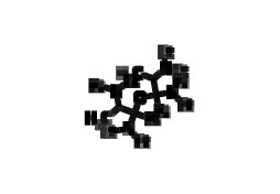 CCN(CC)C(C)C(CC)(OC(CC)(C(C)N(CC)CC)N(CC)CC)N(CC)CC